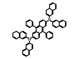 C1=CC2=CC(N(c3ccc4ccccc4c3)c3ccc4c(-c5ccccc5)c5cc(N(c6ccc7c(c6)C=CCC7)c6ccc7ccccc7c6)ccc5c(-c5ccccc5)c4c3)=CCC2C=C1